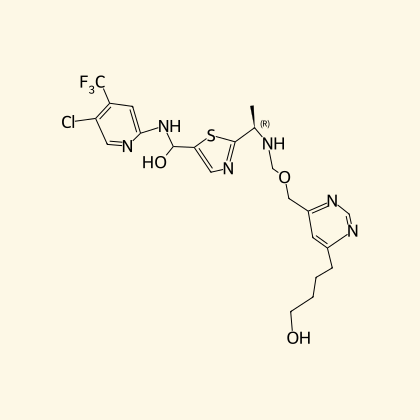 C[C@@H](NCOCc1cc(CCCCO)ncn1)c1ncc(C(O)Nc2cc(C(F)(F)F)c(Cl)cn2)s1